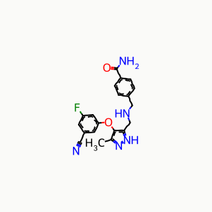 Cc1n[nH]c(CNCc2ccc(C(N)=O)cc2)c1Oc1cc(F)cc(C#N)c1